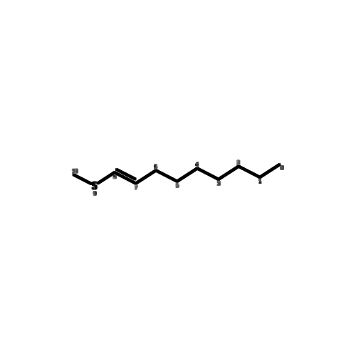 CCCCCCCC=CSC